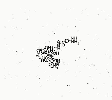 CO[C@@H]1OC(CO)[C@@H](O[C@@H]2OC(CO)[C@@H](O[C@@H]3OC(CO)[C@@H](OC)[C@H](O)C3NC(C)=O)[C@H](O)C2NC(=O)CCCNC(=O)C(=O)Cc2ccc(C(=N)N)cc2)[C@H](O)C1N